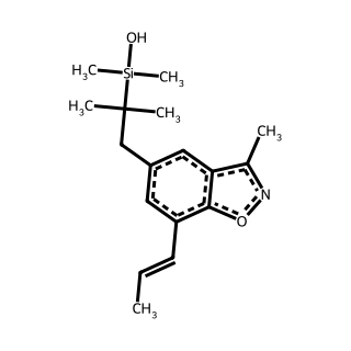 C/C=C/c1cc(CC(C)(C)[Si](C)(C)O)cc2c(C)noc12